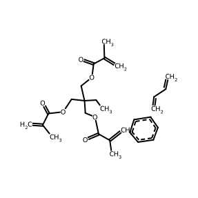 C=C(C)C(=O)OCC(CC)(COC(=O)C(=C)C)COC(=O)C(=C)C.C=CC=C.c1ccccc1